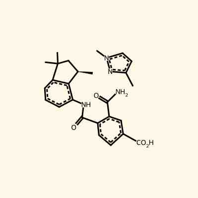 C[C@@H]1CC(C)(C)c2cccc(NC(=O)c3ccc(C(=O)O)cc3C(N)=O)c21.Cc1ccn(C)n1